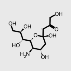 N[C@H]1[C@H]([C@H](O)[C@H](O)CO)O[C@](O)([CH]C(=O)CO)C[C@@H]1O